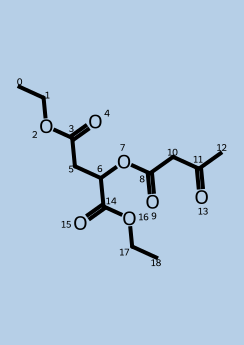 CCOC(=O)CC(OC(=O)CC(C)=O)C(=O)OCC